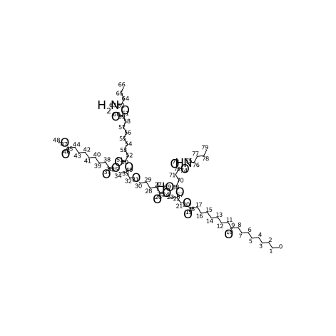 CCCCCCCCCC(=O)CCCCCCCC(=O)OCC(COC(=O)CCCCOCC(COC(=O)CCCCCCCC(=O)OC)OC(=O)CCCCCCCC(=O)OC(N)CCC)OC(O)CCC(=O)ONCCCC